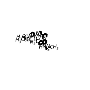 Cc1nc(Nc2cccc3c(Oc4ncccc4-c4ccnc(NC5CCCN(C(=O)OC(C)(C)C)C5)n4)c(C)ccc23)cs1